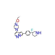 CCOCN1CCN(c2ccnn3cc(-c4ccc([C@]5(F)CCCNC5)cc4)cc23)CC1